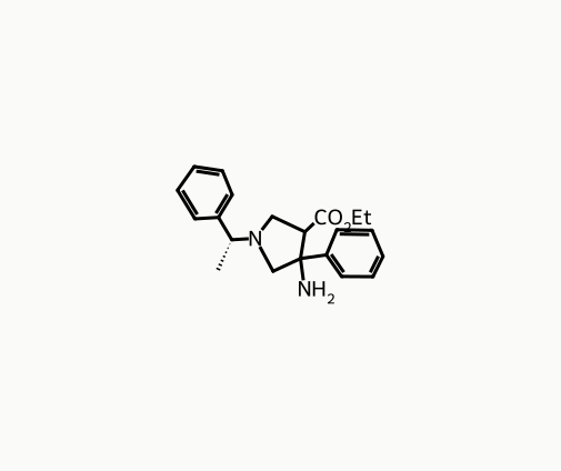 CCOC(=O)C1CN([C@H](C)c2ccccc2)CC1(N)c1ccccc1